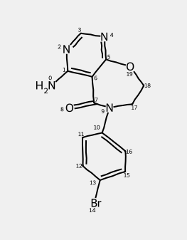 Nc1ncnc2c1C(=O)N(c1ccc(Br)cc1)CCO2